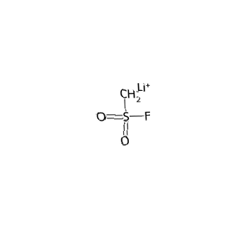 [CH2-]S(=O)(=O)F.[Li+]